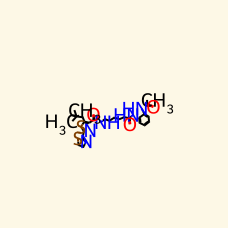 CC(=O)Nc1ccccc1NC(=O)CCCCCNC(=O)c1nc(C2=NCCS2)sc1CC(C)C